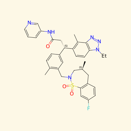 CCn1nnc2c(C)c([C@@H](CC(=O)Nc3cccnc3)c3ccc(C)c(CN4C[C@@H](C)Cc5ccc(F)cc5S4(=O)=O)c3)ccc21